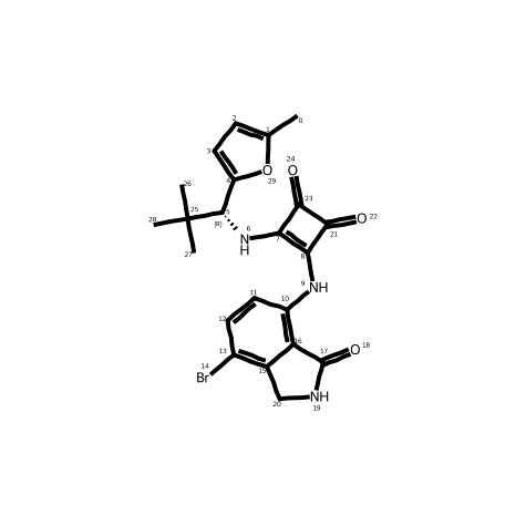 Cc1ccc([C@H](Nc2c(Nc3ccc(Br)c4c3C(=O)NC4)c(=O)c2=O)C(C)(C)C)o1